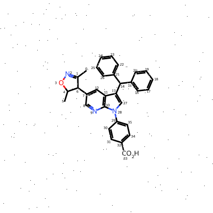 CC1=NOC(C)C1c1cnc2c(c1)c(C(c1ccccc1)c1ccccc1)cn2-c1ccc(C(=O)O)cc1